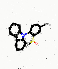 Bc1ccc(-n2c3ccccc3c3ccccc32)c([S+](C)[O-])c1